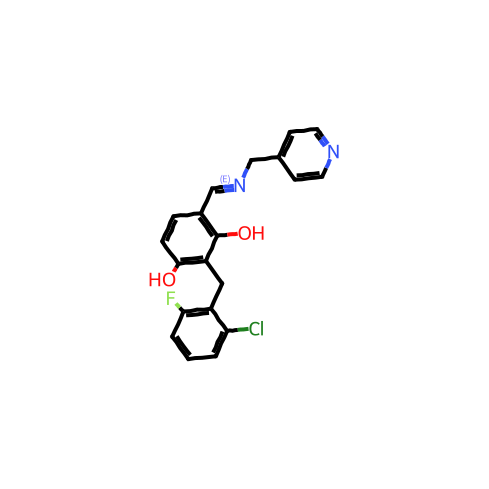 Oc1ccc(/C=N/Cc2ccncc2)c(O)c1Cc1c(F)cccc1Cl